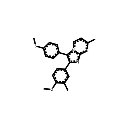 COc1ccc(-c2nc3nc(C)ccn3c2-c2ccc(SC)cc2)cc1C